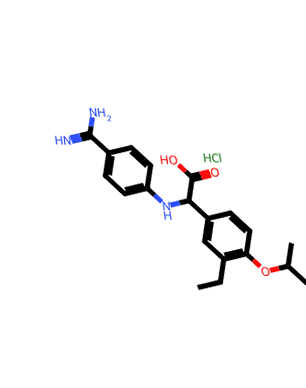 CCc1cc(C(Nc2ccc(C(=N)N)cc2)C(=O)O)ccc1OC(C)C.Cl